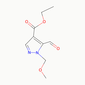 CCOC(=O)c1cnn(COC)c1C=O